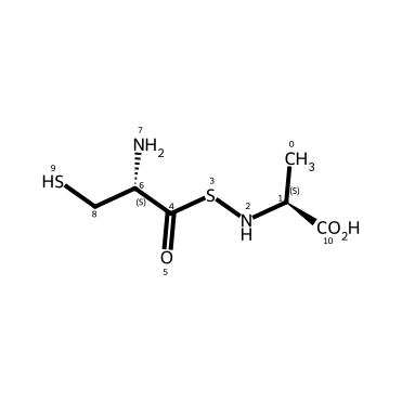 C[C@H](NSC(=O)[C@@H](N)CS)C(=O)O